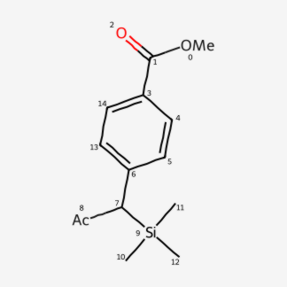 COC(=O)c1ccc(C(C(C)=O)[Si](C)(C)C)cc1